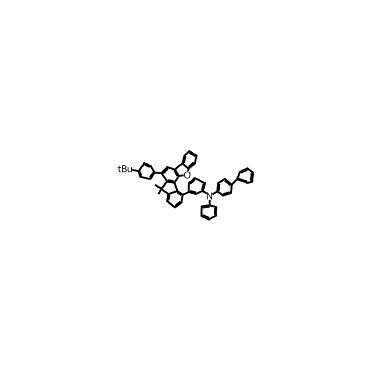 CC(C)(C)c1ccc(-c2cc3c(oc4ccccc43)c3c2C(C)(C)c2cccc(-c4cccc(N(c5ccccc5)c5ccc(-c6ccccc6)cc5)c4)c2-3)cc1